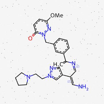 C=C(/N=C\C(=C/N)c1cnn(CCN2CCCC2)c1)c1cccc(Cn2nc(OC)ccc2=O)c1